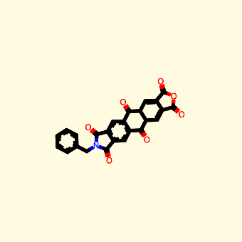 O=C1OC(=O)C2=CC3C(=O)c4cc5c(cc4C(=O)C3C=C12)C(=O)N(Cc1ccccc1)C5=O